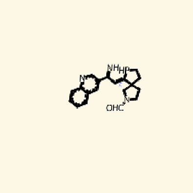 N=C(/C=C1\PCCC12CCN(C=O)C2)c1cnc2ccccc2c1